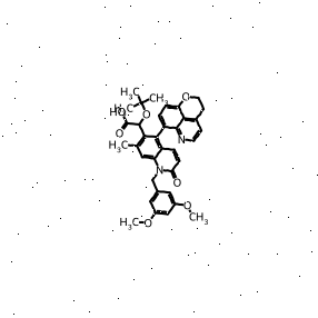 COc1cc(Cn2c(=O)ccc3c(-c4ccc5c6c(ccnc46)CCO5)c(C(OC(C)(C)C)C(=O)O)c(C)cc32)cc(OC)c1